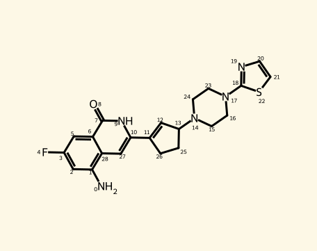 Nc1cc(F)cc2c(=O)[nH]c(C3=CC(N4CCN(c5nccs5)CC4)CC3)cc12